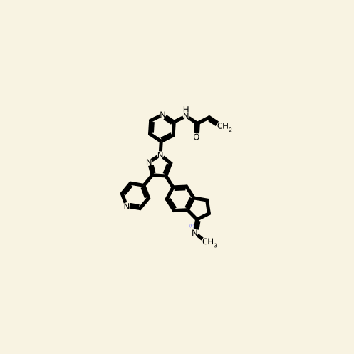 C=CC(=O)Nc1cc(-n2cc(-c3ccc4c(c3)CC/C4=N\C)c(-c3ccncc3)n2)ccn1